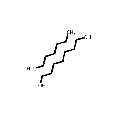 CCCCCCC.OCCCCCCCO